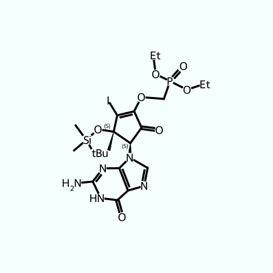 CCOP(=O)(COC1=C(I)[C@@](C)(O[Si](C)(C)C(C)(C)C)[C@H](n2cnc3c(=O)[nH]c(N)nc32)C1=O)OCC